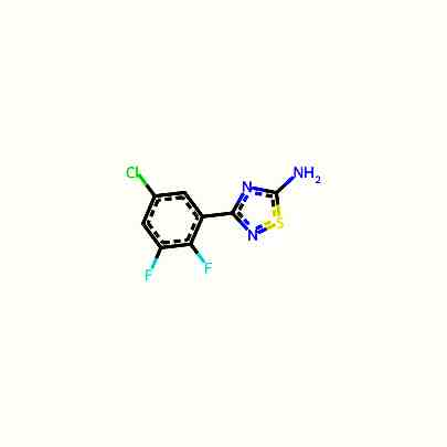 Nc1nc(-c2cc(Cl)cc(F)c2F)ns1